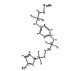 CCc1cn(C(C)(C)CCOC(C)(C)Cc2ccc(CC(C)(C)OCCC(C)C)cc2)nn1